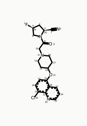 N#C[C@@H]1C[C@H](F)CN1C(=O)CN1CCC(Oc2ccc(Cl)c3ncccc23)CC1